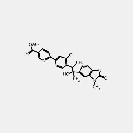 COC(=O)c1ccc(-c2ccc(C(C)C(O)(c3ccc4oc(=O)n(C)c4c3)C(F)(F)F)c(Cl)c2)nc1